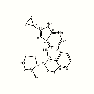 C[C@H]1COCCN1[C@H]1CCc2ccccc2[C@@H]1Nc1ncnc2[nH]c(C3CC3)cc12